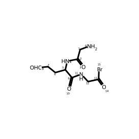 NCC(=O)NC(CCC=O)C(=O)NCC(=O)Br